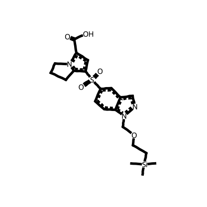 C[Si](C)(C)CCOCn1ncc2cc(S(=O)(=O)c3cc(C(=O)O)n4c3CCC4)ccc21